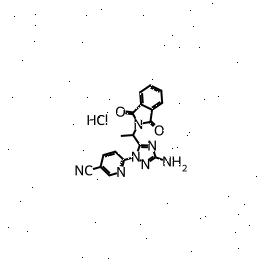 CC(c1nc(N)nn1-c1ccc(C#N)cn1)N1C(=O)c2ccccc2C1=O.Cl